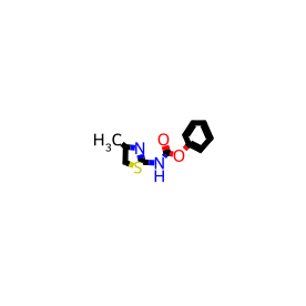 CC1CSC(NC(=O)Oc2ccccc2)=N1